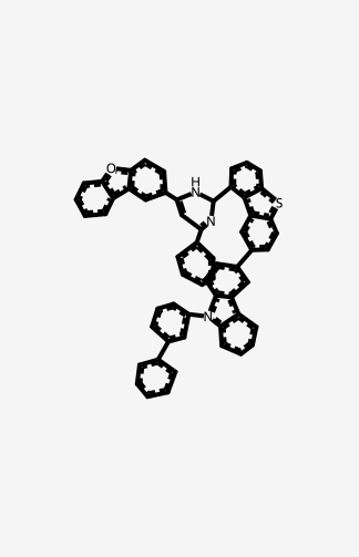 C1=C(c2ccc3oc4ccccc4c3c2)NC(c2cccc3sc4ccc(-c5ccc6c(c5)c5ccccc5n6-c5cccc(-c6ccccc6)c5)cc4c23)N=C1c1ccccc1